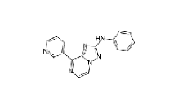 c1ccc(Nc2nc3c(-c4cccnc4)nccn3n2)cc1